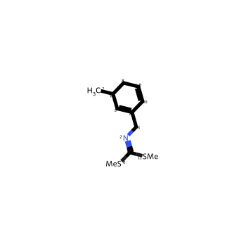 CSC(=NCC1=CC(C)CC=C1)SC